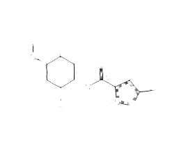 CCc1cc(C(=O)N[C@H]2CC[C@H](NC(=O)O)C[C@H]2CC)no1